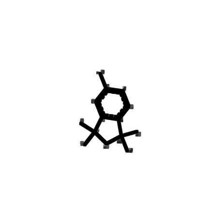 [CH2]c1ccc2c(c1)C(C)(C)CC2(C)C